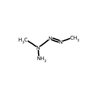 CN=NN(C)N